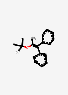 CCC(C)(C)OC([SiH3])=C(c1ccccc1)c1ccccc1